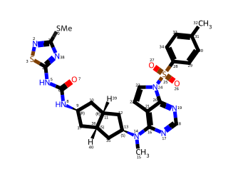 CSc1nsc(NC(=O)N[C@H]2C[C@@H]3C[C@@H](N(C)c4ncnc5c4ccn5S(=O)(=O)c4ccc(C)cc4)C[C@@H]3C2)n1